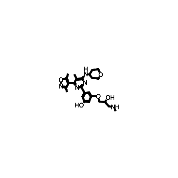 CNCC(O)COc1cc(O)cc(-c2nc(NC3CCOCC3)c(C)c(-c3c(C)noc3C)n2)c1